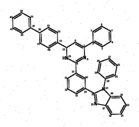 C1=C(c2ccccc2)N=C(c2cccc(-c3nc4ccccc4n3-c3ccccc3)c2)NC1c1ccc(-c2ccccc2)cc1